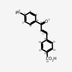 CC(C)c1ccc(C(=O)/C=C/c2ccc(C(=O)O)cc2)cc1